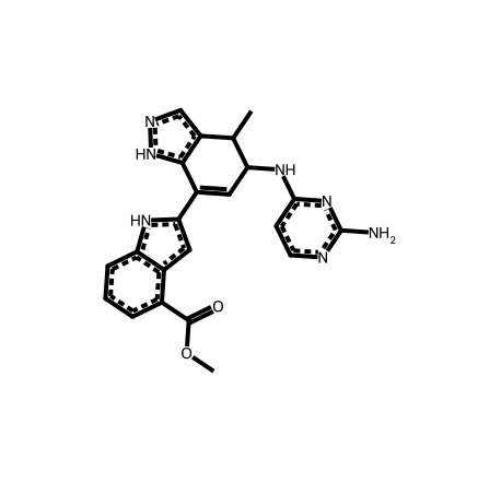 COC(=O)c1cccc2[nH]c(C3=CC(Nc4ccnc(N)n4)C(C)c4cn[nH]c43)cc12